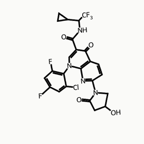 O=C(NC(C1CC1)C(F)(F)F)c1cn(-c2c(F)cc(F)cc2Cl)c2nc(N3CC(O)CC3=O)ccc2c1=O